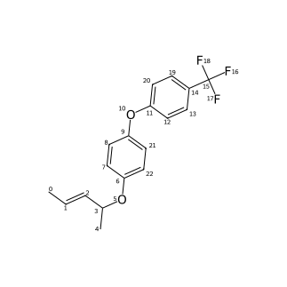 C/C=C/C(C)Oc1ccc(Oc2ccc(C(F)(F)F)cc2)cc1